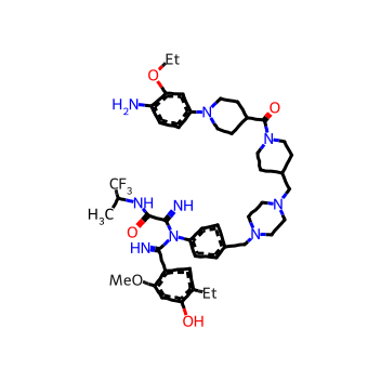 CCOc1cc(N2CCC(C(=O)N3CCC(CN4CCN(Cc5ccc(N(C(=N)C(=O)NC(C)C(F)(F)F)C(=N)c6cc(CC)c(O)cc6OC)cc5)CC4)CC3)CC2)ccc1N